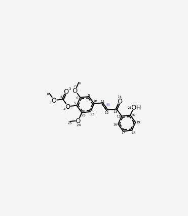 COC(=O)Oc1c(OC)cc(/C=C/C(=O)c2ccccc2O)cc1OC